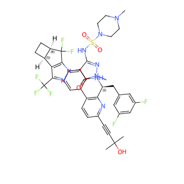 CN1CCN(S(=O)(=O)Nc2nn(C)c3c(-c4ccc(C#CC(C)(C)O)nc4[C@H](Cc4cc(F)cc(F)c4)NC(=O)Cn4nc(C(F)(F)F)c5c4C(F)(F)[C@@H]4CC[C@H]54)cccc23)CC1